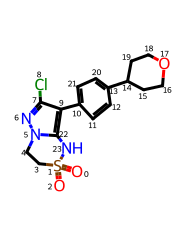 O=S1(=O)CCn2nc(Cl)c(-c3ccc(C4CCOCC4)cc3)c2N1